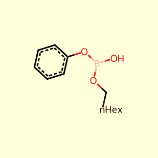 CCCCCCCOB(O)Oc1ccccc1